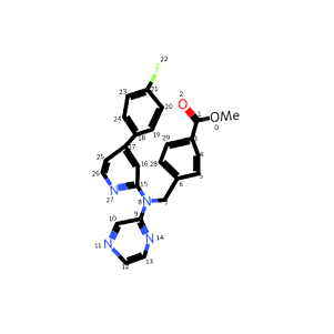 COC(=O)c1ccc(CN(c2cnccn2)c2cc(-c3ccc(F)cc3)ccn2)cc1